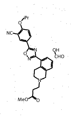 COC(=O)CCN1CCc2c(cccc2-c2noc(-c3ccc(OC(C)C)c(C#N)c3)n2)C1.O=CO